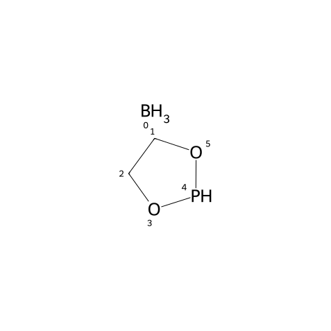 B.C1COPO1